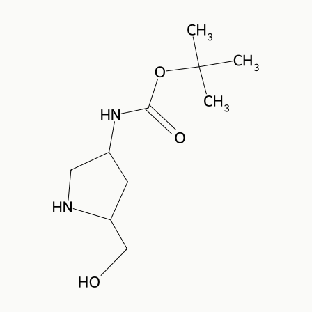 CC(C)(C)OC(=O)NC1CNC(CO)C1